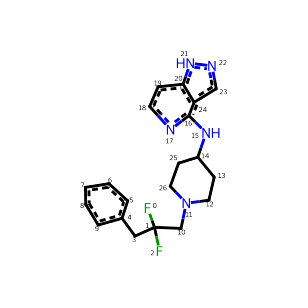 FC(F)(Cc1ccccc1)CN1CCC(Nc2nccc3[nH]ncc23)CC1